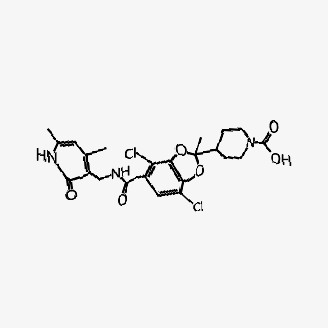 Cc1cc(C)c(CNC(=O)c2cc(Cl)c3c(c2Cl)OC(C)(C2CCN(C(=O)O)CC2)O3)c(=O)[nH]1